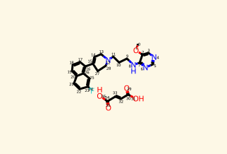 COc1cncnc1NCCCN1CC=C(c2cccc3ccc(F)cc23)CC1.O=C(O)/C=C/C(=O)O